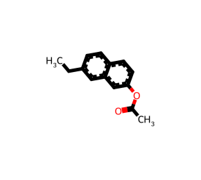 CCc1ccc2ccc(OC(C)=O)cc2c1